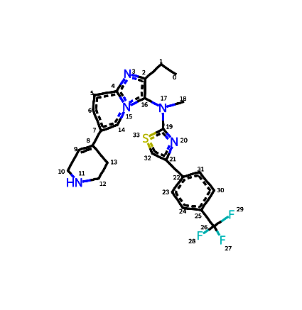 CCc1nc2ccc(C3=CCNCC3)cn2c1N(C)c1nc(-c2ccc(C(F)(F)F)cc2)cs1